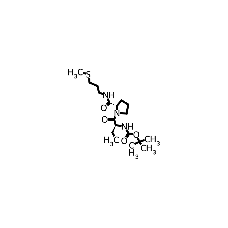 CC[C@H](NC(=O)OC(C)(C)C)C(=O)N1CCC[C@H]1C(=O)NCCCSC